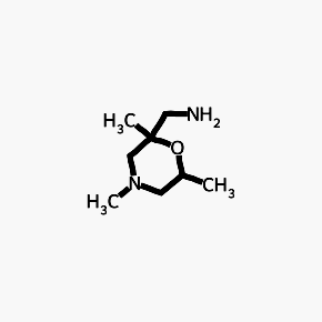 CC1CN(C)CC(C)(CN)O1